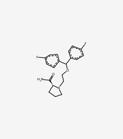 NC(=O)[C@@H]1CCCN1CCOC(c1ccc(F)cc1)c1ccc(F)cc1